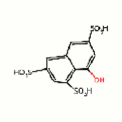 O=S(=O)(O)c1cc(O)c2c(S(=O)(=O)O)cc(S(=O)(=O)O)cc2c1